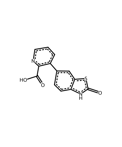 O=C(O)c1ncccc1-c1ccc2[nH]c(=O)sc2c1